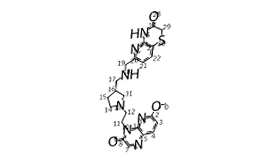 COc1ccc2ncc(=O)n(CCN3CC[C@@H](CNCc4ccc5c(n4)NC(=O)CS5)C3)c2n1